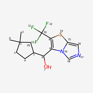 CC1(C)CCC(C(O)c2c(C(F)(F)F)sc3cncn23)C1